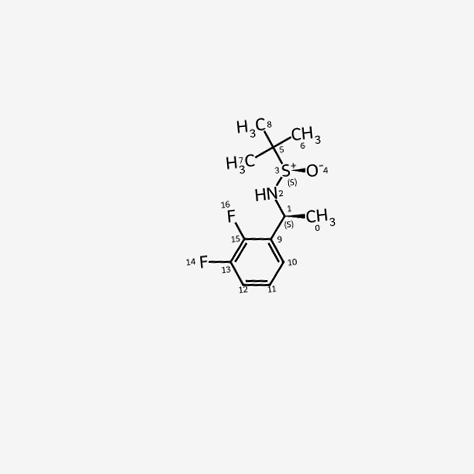 C[C@H](N[S@+]([O-])C(C)(C)C)c1cccc(F)c1F